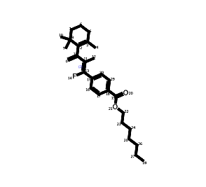 C=C(C1=C(C)CCCC1(C)C)/C(C)=C(\F)c1ccc(C(=O)OCCCCCCC)cc1